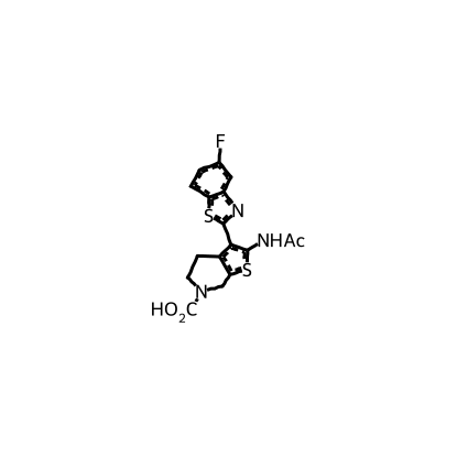 CC(=O)Nc1sc2c(c1-c1nc3cc(F)ccc3s1)CCN(C(=O)O)C2